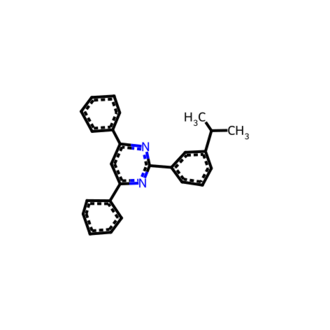 CC(C)c1cccc(-c2nc(-c3ccccc3)cc(-c3ccccc3)n2)c1